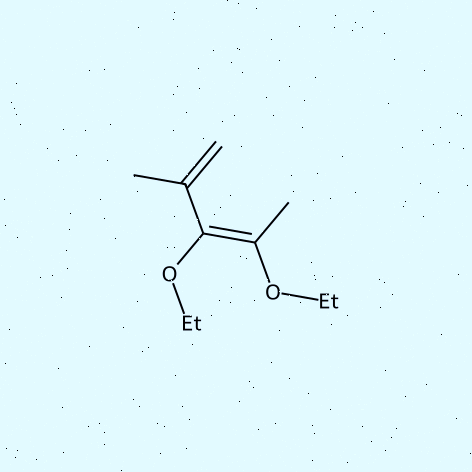 C=C(C)C(OCC)=C(C)OCC